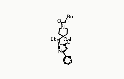 CC[C@@H](n1cnc(-c2ccccc2)cc1=O)C1(O)CCN(C(=O)OC(C)(C)C)CC1